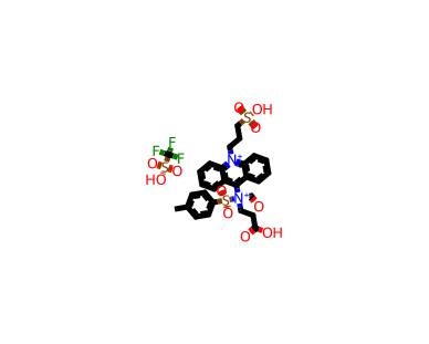 Cc1ccc(S(=O)(=O)[N+](C=O)(CCC(=O)O)c2c3ccccc3[n+](CCCS(=O)(=O)O)c3ccccc23)cc1.O=S(=O)(O)C(F)(F)F